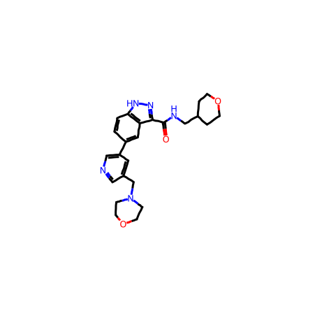 O=C(NCC1CCOCC1)c1n[nH]c2ccc(-c3cncc(CN4CCOCC4)c3)cc12